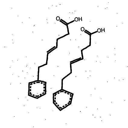 O=C(O)CC/C=C/CCc1ccccc1.O=C(O)CC/C=C/CCc1ccccc1